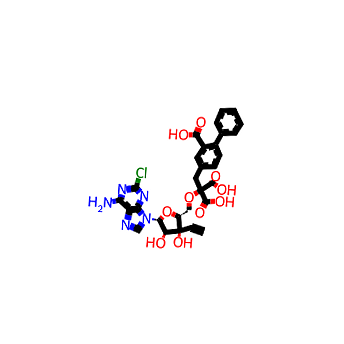 C#C[C@@]1(O)[C@@H](COC(Cc2ccc(-c3ccccc3)c(C(=O)O)c2)(C(=O)O)C(=O)O)O[C@@H](n2cnc3c(N)nc(Cl)nc32)[C@@H]1O